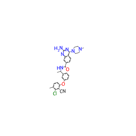 Cc1ccc(Oc2cccc(C(C)NC(=O)c3ccc4c(N5CCN(C)CC5)nc(N)nc4c3)c2)c(C#N)c1Cl